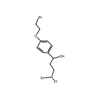 CCN(CC)CCC(O)c1ccc(OCCC(C)C)cc1